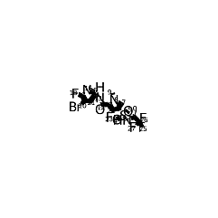 C[C@@H](NS(=O)(=O)c1cn(C)c(C(=O)Nc2cnc(F)c(Br)c2)c1F)C(F)(F)F